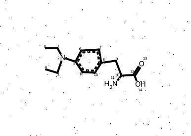 CCN(CC)c1ccc(CC(N)C(=O)O)cc1